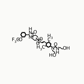 Cc1cc(N(CCO)C(=O)NCCO)cc(C)c1/C=C/S(=O)(=O)N1CCC2(CC1)N=C(c1cccc(OC(F)(F)F)c1)NC2=O